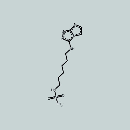 CS(=O)(=O)NCCCCCCNc1nsc2nccn12